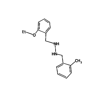 CCOc1ccccc1CNNCc1ccccc1C